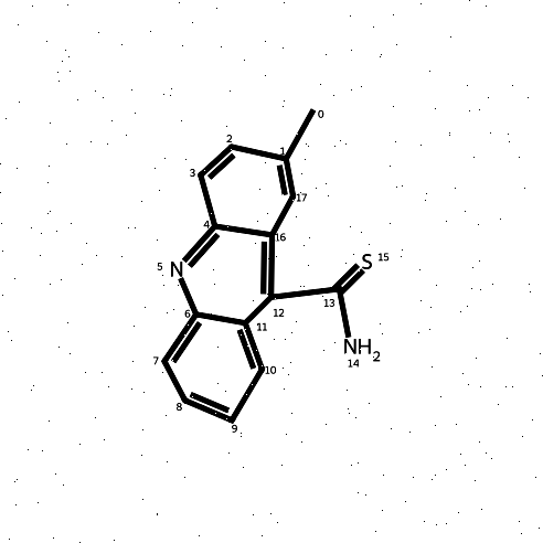 Cc1ccc2nc3ccccc3c(C(N)=S)c2c1